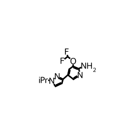 CC(C)n1ccc(-c2cnc(N)c(OC(F)F)c2)n1